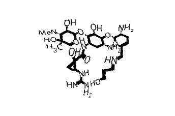 CN[C@@H]1[C@@H](O)[C@@H](O[C@H]2[C@H](NC(=O)C3(O)CC3NC(=N)N)C[C@H](N)C(O[C@H]3OC(CNCCCO)=CC[C@H]3N)[C@@H]2O)OC[C@]1(C)O